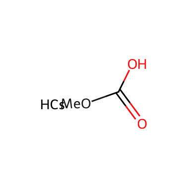 COC(=O)O.[CsH]